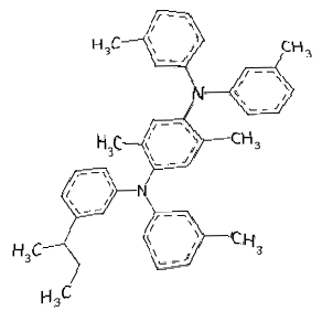 CCC(C)c1cccc(N(c2cccc(C)c2)c2cc(C)c(N(c3cccc(C)c3)c3cccc(C)c3)cc2C)c1